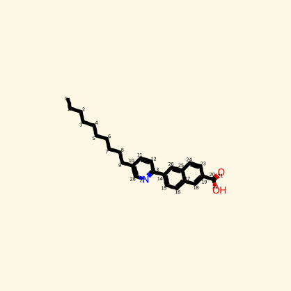 CCCCCCCCCCc1ccc(-c2ccc3cc(C(=O)O)ccc3c2)nc1